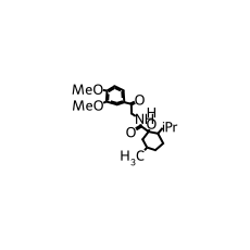 COc1ccc(C(=O)CNC(=O)C2(O)CC(C)CCC2C(C)C)cc1OC